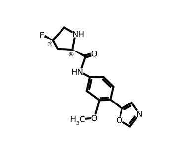 COc1cc(NC(=O)[C@H]2C[C@@H](F)CN2)ccc1-c1cnco1